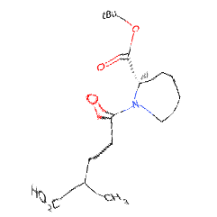 CC(CCC(=O)N1CCC[C@H]1C(=O)OC(C)(C)C)C(=O)O